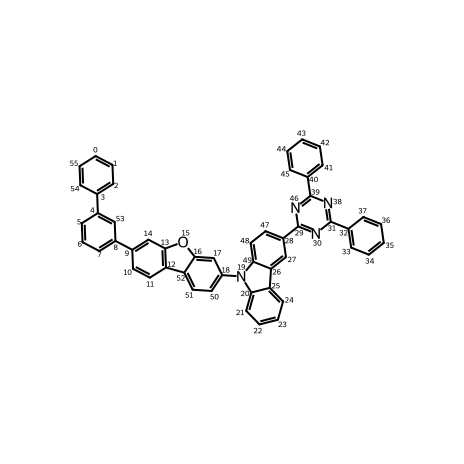 c1ccc(-c2cccc(-c3ccc4c(c3)oc3cc(-n5c6ccccc6c6cc(-c7nc(-c8ccccc8)nc(-c8ccccc8)n7)ccc65)ccc34)c2)cc1